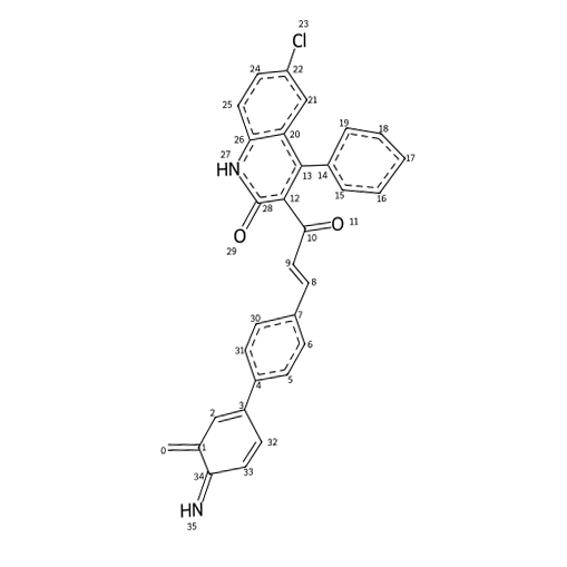 C=C1C=C(c2ccc(/C=C/C(=O)c3c(-c4ccccc4)c4cc(Cl)ccc4[nH]c3=O)cc2)C=CC1=N